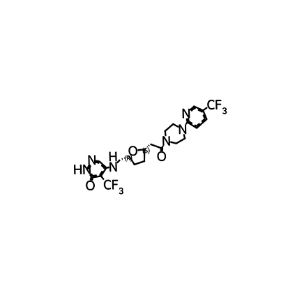 O=C(C[C@@H]1CC[C@H](CNc2cn[nH]c(=O)c2C(F)(F)F)O1)N1CCN(c2ccc(C(F)(F)F)cn2)CC1